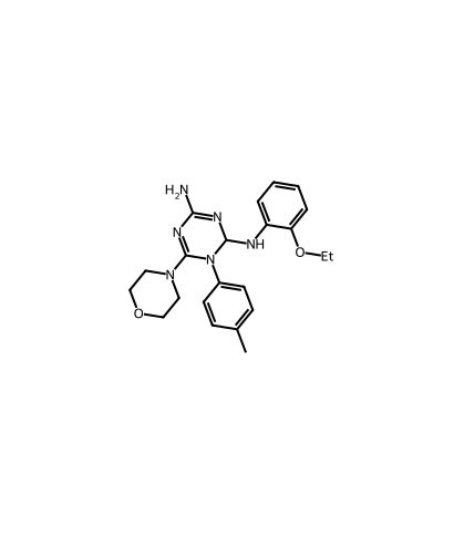 CCOc1ccccc1NC1N=C(N)N=C(N2CCOCC2)N1c1ccc(C)cc1